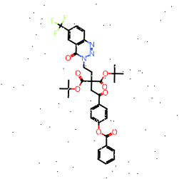 CC(C)(C)OC(=O)C(CCn1nnc2ccc(C(F)(F)F)cc2c1=O)(CC(=O)c1ccc(OC(=O)c2ccccc2)cc1)C(=O)OC(C)(C)C